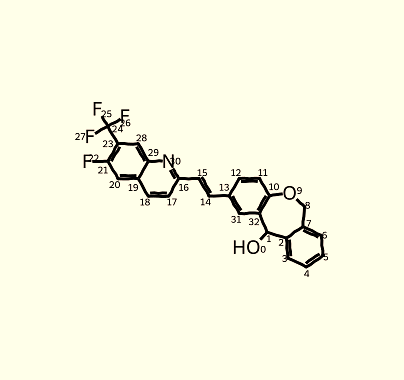 OC1c2ccccc2COc2ccc(C=Cc3ccc4cc(F)c(C(F)(F)F)cc4n3)cc21